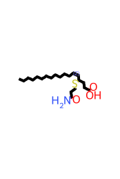 CCCCCCCCCCCC/C=C\C(CCC(=O)O)SCCC(N)=O